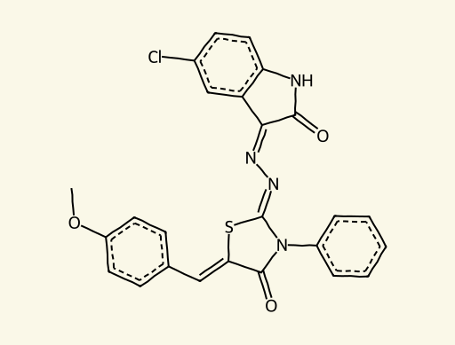 COc1ccc(C=C2SC(=NN=C3C(=O)Nc4ccc(Cl)cc43)N(c3ccccc3)C2=O)cc1